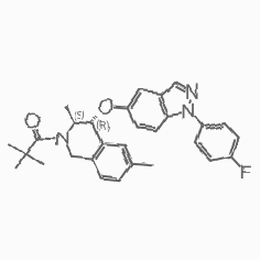 Cc1ccc2c(c1)[C@@H](Oc1ccc3c(cnn3-c3ccc(F)cc3)c1)[C@H](C)N(C(=O)C(C)(C)C)C2